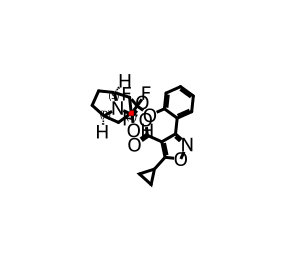 O=C(O[C@@H]1C[C@H]2CC[C@@H](C1)N2C(=O)O)c1c(-c2ccccc2OC(F)(F)F)noc1C1CC1